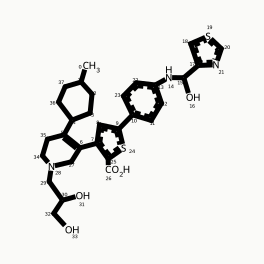 CC1CCC(C2=C(c3cc(-c4ccc(NC(O)c5cscn5)cc4)sc3C(=O)O)CN(CC(O)CO)CC2)CC1